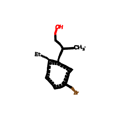 [CH2]C(CO)c1cc(Br)ccc1CC